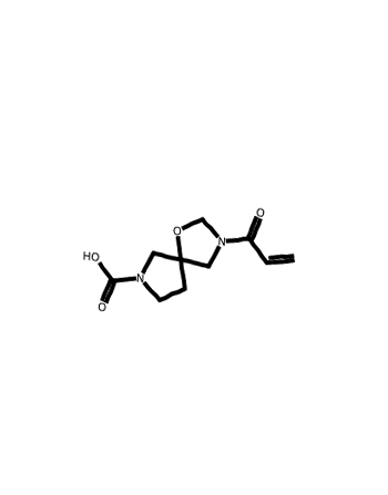 C=CC(=O)N1COC2(CCN(C(=O)O)C2)C1